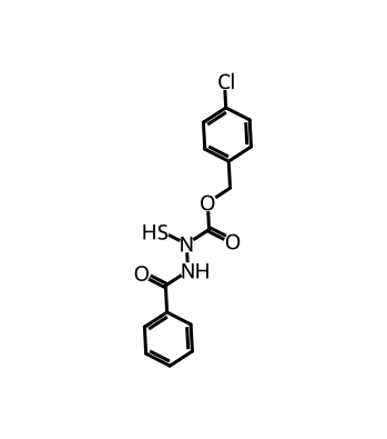 O=C(NN(S)C(=O)OCc1ccc(Cl)cc1)c1ccccc1